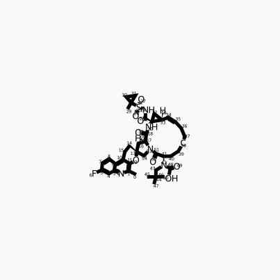 Cc1nc2cc(F)ccc2c2c1O[C@]1(CC2)C[C@H]2C(=O)N[C@]3(C(=O)NS(=O)(=O)C4(C)CC4)C[C@H]3/C=C\CCCCC[C@H](N(CC(C)(C)C)C(=O)O)C(=O)N2C1